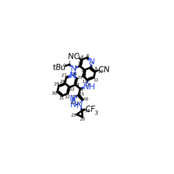 CC(C)(C)CNc1c(C#N)cnc2c(C#N)cc(NC(c3cn(C4(C(F)(F)F)CC4)nn3)c3cncc4ccccc34)cc12